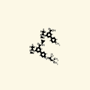 CC(N)CN(C)C.Cc1ccc(-c2cc(C(=O)NC3CC3)cc(-n3ncnc3C(F)(F)F)c2)cc1.Cc1ccc(-c2cc(C(=O)O)cc(-n3ncnc3C(F)(F)F)c2)cc1